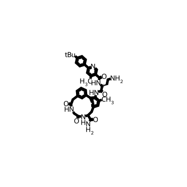 Cc1cc(-c2ccc(C(C)(C)C)cc2)ncc1C(=O)N[C@@H](CCN)C(=O)Nc1c(C)cc2cc1-c1cccc(c1)CC(=O)NCC(=O)NC(C(N)=O)C2